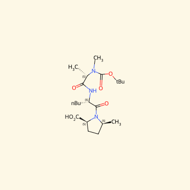 CCCC[C@H](NC(=O)[C@H](C)N(C)C(=O)OC(C)(C)C)C(=O)N1[C@@H](C)CC[C@H]1C(=O)O